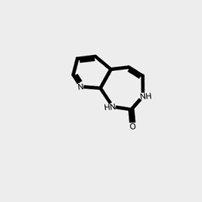 O=C1NC=CC2C=CC=NC2N1